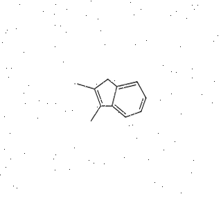 [CH2]C1=C(C)c2ccccc2C1